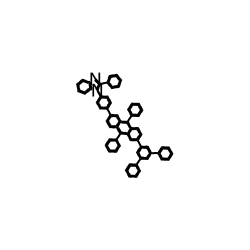 c1ccc(-c2cc(-c3ccccc3)cc(-c3ccc4c(-c5ccccc5)c5cc(-c6ccc(-n7c(-c8ccccc8)nc8ccccc87)cc6)ccc5c(-c5ccccc5)c4c3)c2)cc1